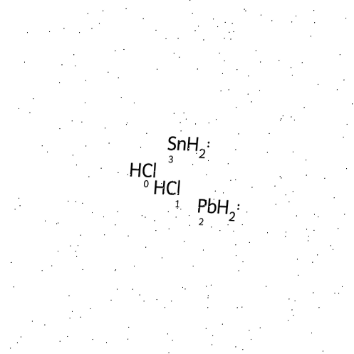 Cl.Cl.[PbH2].[SnH2]